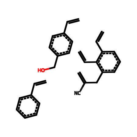 C=Cc1ccc(CO)cc1.C=Cc1cccc(CC(=C)C#N)c1C=C.C=Cc1ccccc1